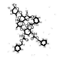 CCC1O[C@H](OC2O[C@H]3CC(C)[C@@H](O[C@@H]4C(NC(=O)OCc5ccccc5)C[C@@H](NC(=O)OCc5ccccc5)C(OC(=O)c5ccccc5)[C@H]4O)OC3C3OC(=O)N(C)C23)C(C)C[C@@H]1C